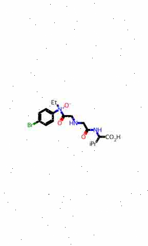 CC[N+]([O-])(C(=O)CNCC(=O)NC(C(=O)O)C(C)C)c1ccc(Br)cc1